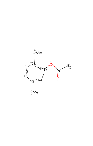 CCC(=O)Oc1cc(OC)ccc1OC